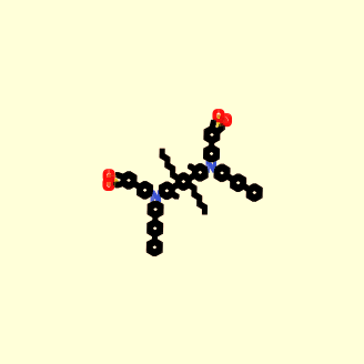 CCCCCCc1cc(-c2ccc(N(c3ccc(-c4ccc(-c5ccccc5)cc4)cc3)c3ccc(-c4ccc5c(c4)CS(=O)(=O)C5)cc3)cc2C)c(CCCCCC)cc1-c1ccc(N(c2ccc(-c3ccc(-c4ccccc4)cc3)cc2)c2ccc(-c3ccc4c(c3)CS(=O)(=O)C4)cc2)cc1C